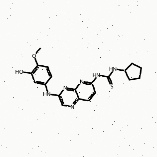 COc1ccc(Nc2cnc3ccc(NC(=S)NC4CCCC4)nc3n2)cc1O